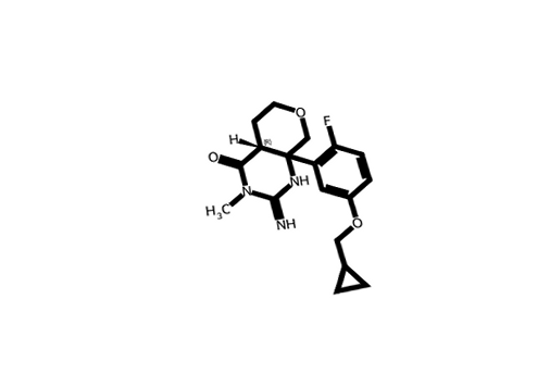 CN1C(=N)NC2(c3cc(OCC4CC4)ccc3F)COCC[C@H]2C1=O